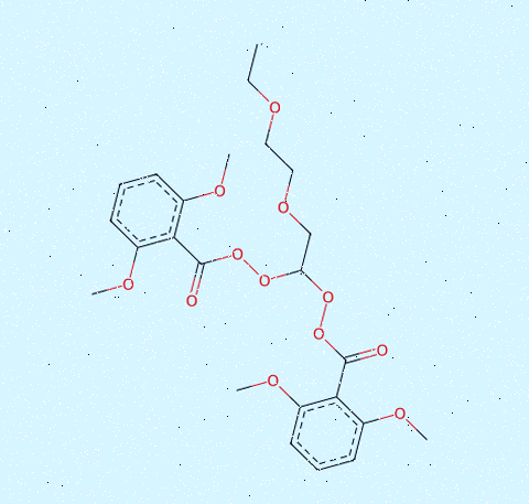 [CH2]COCCOC[C](OOC(=O)c1c(OC)cccc1OC)OOC(=O)c1c(OC)cccc1OC